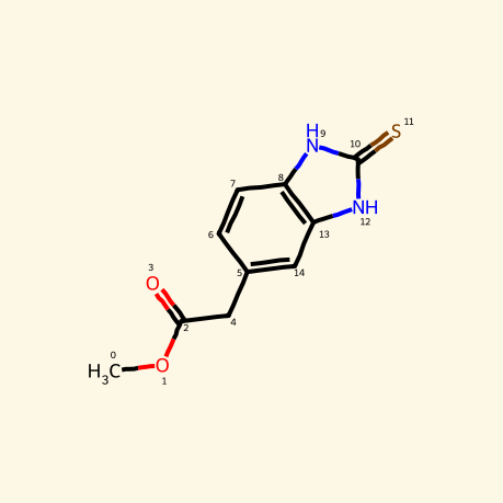 COC(=O)Cc1ccc2[nH]c(=S)[nH]c2c1